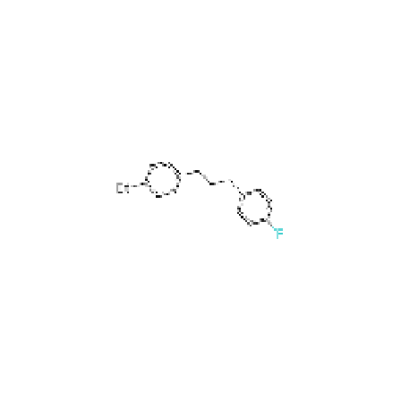 CCc1ccc(CCCc2ccc(F)cc2)cc1